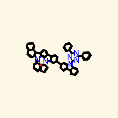 c1ccc(-c2nc(-c3ccccc3)nc(-n3c4ccccc4c4ccc(-c5ccc6c7ccc8c9c%10ccccc%10ccc9n(-c9ccccc9)c8c7n(-c7ccccc7)c6c5)cc43)n2)cc1